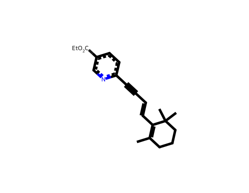 CCOC(=O)c1ccc(C#CC=CC2=C(C)CCCC2(C)C)nc1